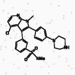 CNS(=O)(=O)c1cccc(-c2c(-c3ccc(N4CCNCC4)cc3)n(C)c3nccc(Cl)c23)c1